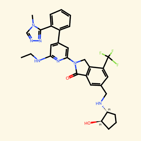 CCNc1cc(-c2ccccc2-c2nncn2C)cc(N2Cc3c(cc(CN[C@@H]4CCC[C@H]4O)cc3C(F)(F)F)C2=O)n1